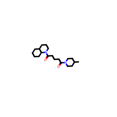 CC1CCN(C(=O)CCCC(=O)N2CCCC3CCCCC32)CC1